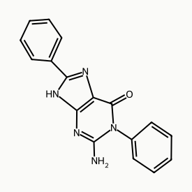 Nc1nc2[nH]c(-c3ccccc3)nc2c(=O)n1-c1ccccc1